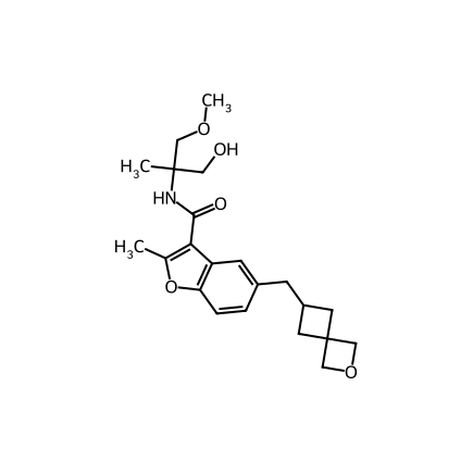 COCC(C)(CO)NC(=O)c1c(C)oc2ccc(CC3CC4(COC4)C3)cc12